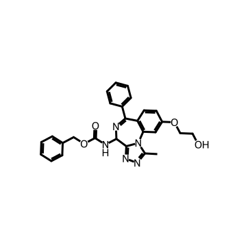 Cc1nnc2n1-c1cc(OCCO)ccc1C(c1ccccc1)=NC2NC(=O)OCc1ccccc1